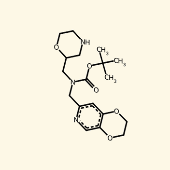 CC(C)(C)OC(=O)N(Cc1cc2c(cn1)OCCO2)CC1CNCCO1